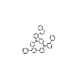 c1ccc(-c2ccc(-c3cccc(N(c4cccc(-c5ccccc5)c4)c4ccc5c6c(-c7cccc8ccccc78)cccc6n(-c6ccccc6)c5c4)c3)cc2)cc1